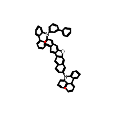 c1ccc(-c2cccc(N(c3ccc4cc5c(cc4c3)oc3cc4cc(N(c6ccccc6)c6ccccc6-c6ccccc6)ccc4cc35)c3ccccc3-c3ccccc3)c2)cc1